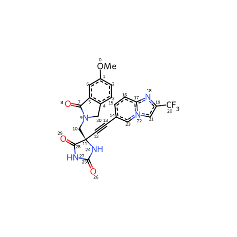 COc1ccc2c(c1)C(=O)N(C[C@@]1(C#Cc3ccc4nc(C(F)(F)F)cn4c3)NC(=O)NC1=O)C2